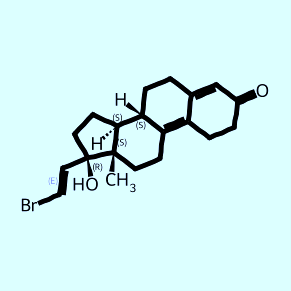 C[C@]12CCC3=C4CCC(=O)C=C4CC[C@H]3[C@@H]1CC[C@@]2(O)/C=C/Br